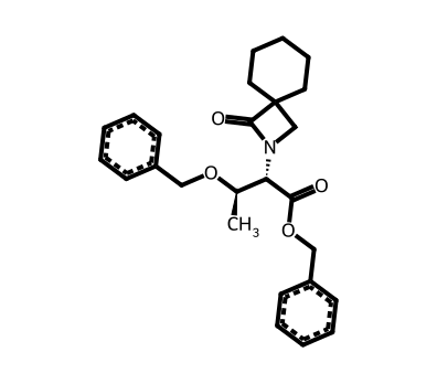 C[C@@H](OCc1ccccc1)[C@@H](C(=O)OCc1ccccc1)N1CC2(CCCCC2)C1=O